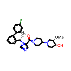 CO[C@H]1CN(C2CCN(C(=O)c3cncn3[C@@H](C)c3ccccc3-c3ccc(F)cc3)CC2)CC[C@@H]1O